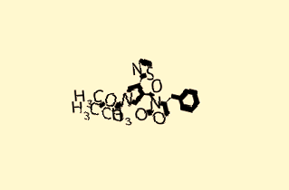 CC(C)(C)OC(=O)N1C[C@H](C(=O)N2C(=O)OC[C@H]2Cc2ccccc2)[C@@H](c2nccs2)C1